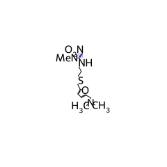 CN/C(=C\[N+](=O)[O-])NCCCSCc1ccc(CN(C)C)o1